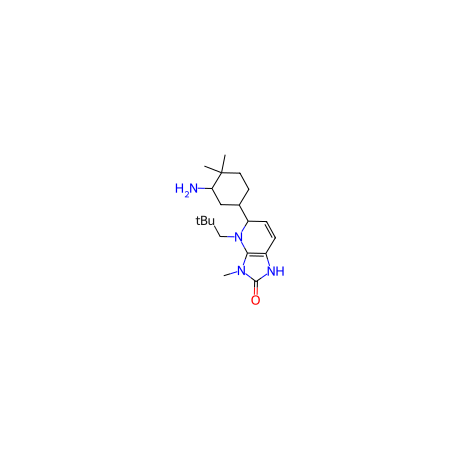 Cn1c2c([nH]c1=O)C=CC(C1CCC(C)(C)C(N)C1)N2CC(C)(C)C